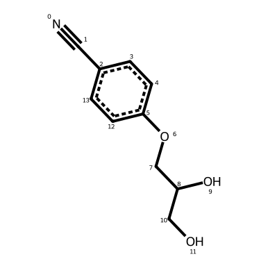 N#Cc1ccc(OCC(O)CO)cc1